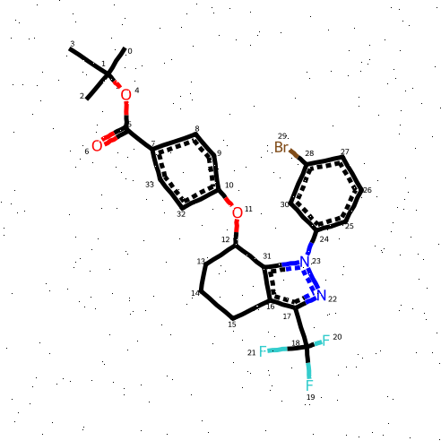 CC(C)(C)OC(=O)c1ccc(OC2CCCc3c(C(F)(F)F)nn(-c4cccc(Br)c4)c32)cc1